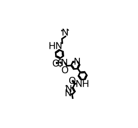 Cc1cc(C(=O)Nc2cccc(-c3cncc(C(=O)N=S(C)(=O)c4ccc(NCCCN(C)C)cc4)c3)c2)n(C)n1